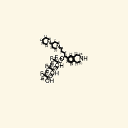 O=C(CCCN1CCC(N2CCCCC2)CC1)c1ccc2c(c1)CCNCC2.O=C(O)C(F)(F)F.O=C(O)C(F)(F)F.O=C(O)C(F)(F)F